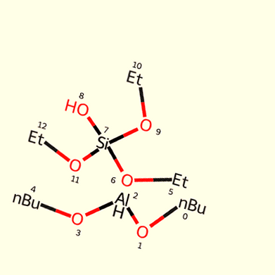 CCCC[O][AlH][O]CCCC.CCO[Si](O)(OCC)OCC